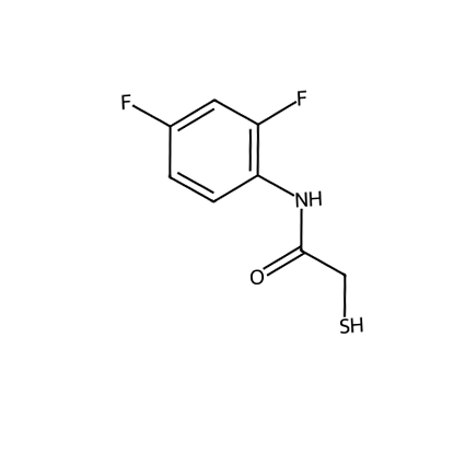 O=C(CS)Nc1ccc(F)cc1F